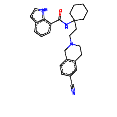 N#Cc1ccc2c(c1)CCN(CCC1(NC(=O)c3cccc4cc[nH]c34)CCCCC1)C2